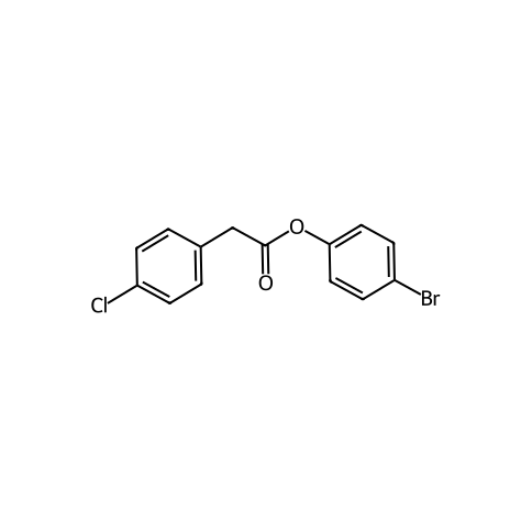 O=C(Cc1ccc(Cl)cc1)Oc1ccc(Br)cc1